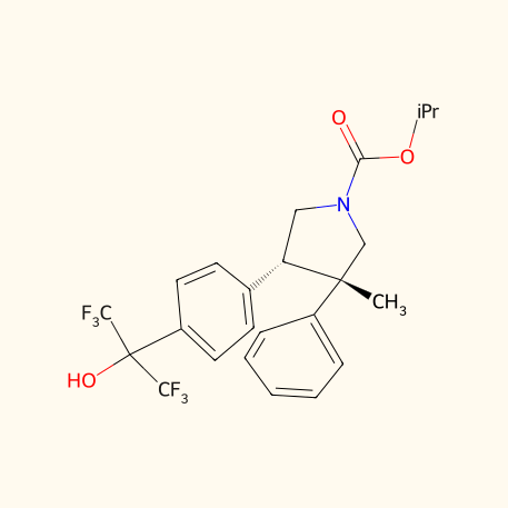 CC(C)OC(=O)N1C[C@@H](c2ccc(C(O)(C(F)(F)F)C(F)(F)F)cc2)[C@@](C)(c2ccccc2)C1